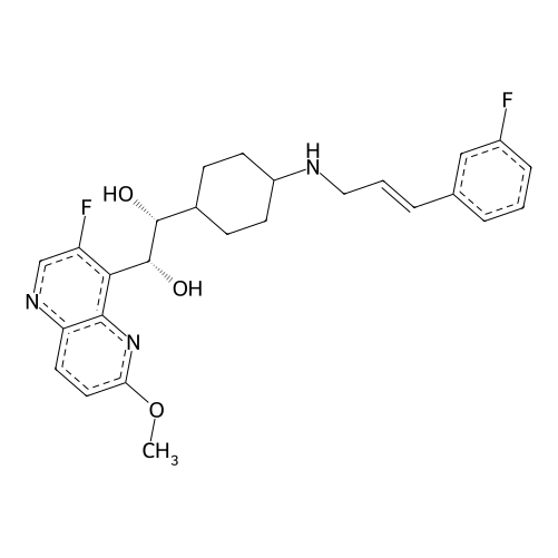 COc1ccc2ncc(F)c([C@@H](O)[C@H](O)C3CCC(NC/C=C/c4cccc(F)c4)CC3)c2n1